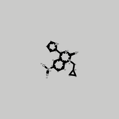 O=c1nc(-c2ccco2)c2cc([N+](=O)[O-])ccc2n1CC1CC1